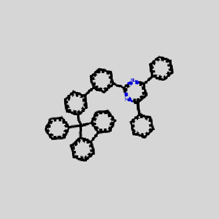 c1ccc(-c2cc(-c3ccccc3)nc(-c3cccc(-c4cccc(C5(c6ccccc6)c6ccccc6-c6ccccc65)c4)c3)n2)cc1